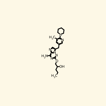 CCCC(O)COc1nc(N)c2ncc(Cc3cnc(N4CCCCC4)c(C)c3)n2n1